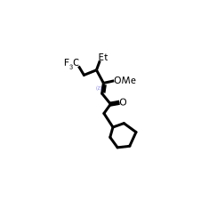 CCC(CC(F)(F)F)/C(=C/C(=O)CC1CCCCC1)OC